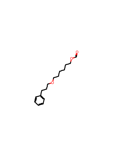 O=COCCCCCCOCCCc1ccccc1